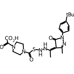 CC1=NN(c2ccc(C(C)(C)C)cc2)C(=O)/C1=C(/C)NNSC(=O)N1CCN(C(=O)C(=O)O)CC1